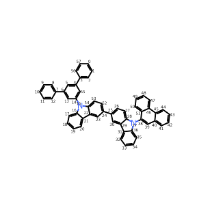 c1ccc(-c2cc(-c3ccccc3)cc(-n3c4ccccc4c4cc(-c5ccc6c(c5)c5ccccc5n6-c5cc6ccccc6c6ccccc56)ccc43)c2)cc1